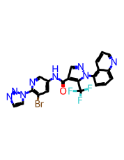 O=C(Nc1cnc(-n2ccnn2)c(Br)c1)c1cnn(-c2cccc3ncccc23)c1C(F)(F)F